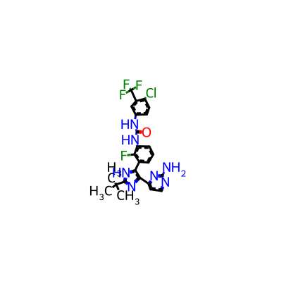 CC(C)(C)c1nc(-c2ccnc(N)n2)c(-c2cccc(NC(=O)Nc3ccc(Cl)c(C(F)(F)F)c3)c2F)[nH]1